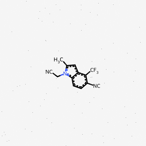 [C-]#[N+]c1ccc2c(cc(C)n2CC#N)c1C(F)(F)F